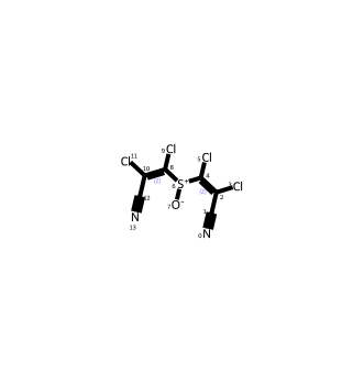 N#C/C(Cl)=C(/Cl)[S+]([O-])/C(Cl)=C(/Cl)C#N